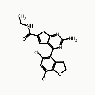 CCNC(=O)c1cc2c(-c3c(Cl)cc(Cl)c4c3CCO4)nc(N)nc2s1